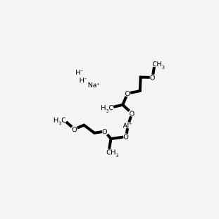 COCCOC(C)[O][Al+][O]C(C)OCCOC.[H-].[H-].[Na+]